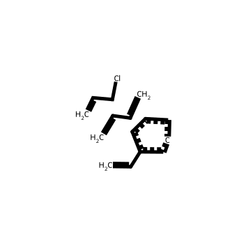 C=CC=C.C=CCCl.C=Cc1ccccc1